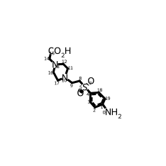 Nc1ccc(S(=O)(=O)CCN2CCN(CC(=O)O)CC2)cc1